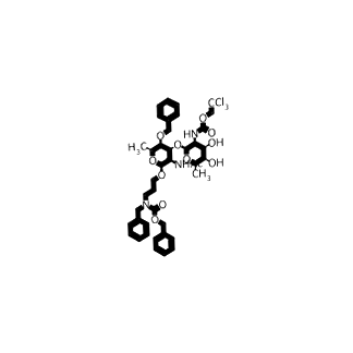 CC(=O)N[C@H]1[C@@H](OCCCN(Cc2ccccc2)C(=O)OCc2ccccc2)O[C@H](C)[C@@H](OCc2ccccc2)[C@@H]1O[C@@H]1O[C@@H](C)[C@@H](O)[C@@H](O)[C@@H]1NC(=O)OCC(Cl)(Cl)Cl